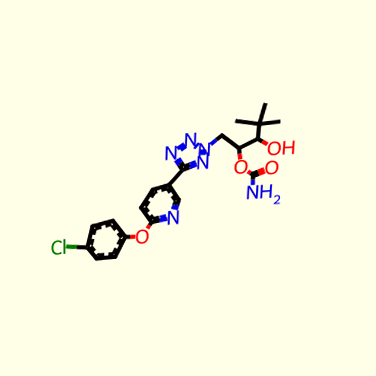 CC(C)(C)C(O)C(Cn1nnc(-c2ccc(Oc3ccc(Cl)cc3)nc2)n1)OC(N)=O